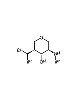 CCC(C(C)C)[C@H]1COC[C@@H](NC(C)C)[C@@H]1O